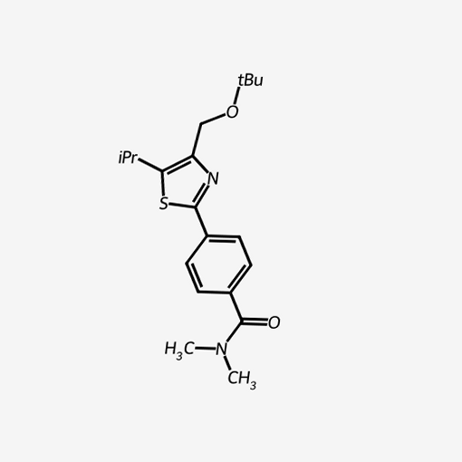 CC(C)c1sc(-c2ccc(C(=O)N(C)C)cc2)nc1COC(C)(C)C